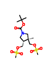 CC(C)(C)OC(=O)N1C[C@@H](COS(C)(=O)=O)[C@](C)(COS(C)(=O)=O)C1